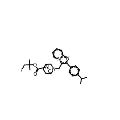 CC(C)c1ccc(-c2nc3ccccn3c2CN2CC3CCC2CN3C(=O)OC(C)(C)CI)cc1